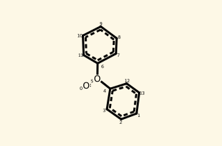 [O].c1ccc(Oc2ccccc2)cc1